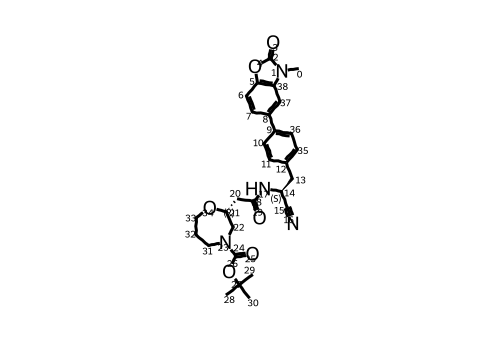 Cn1c(=O)oc2ccc(-c3ccc(C[C@@H](C#N)NC(=O)C[C@@H]4CN(C(=O)OC(C)(C)C)CCCO4)cc3)cc21